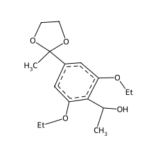 CCOc1cc(C2(C)OCCO2)cc(OCC)c1C(C)O